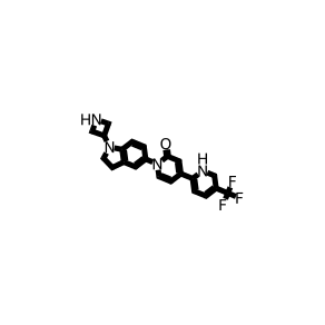 O=c1cc(C2=CC=C(C(F)(F)F)CN2)ccn1-c1ccc2c(c1)CCN2C1CNC1